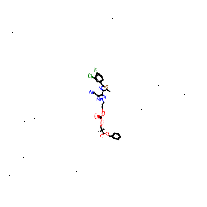 Cc1sc(-c2ccc(F)c(Cl)c2)nc1-c1nn(CCOC(=O)OCC(C)(C)C(=O)OCc2ccccc2)nc1C#N